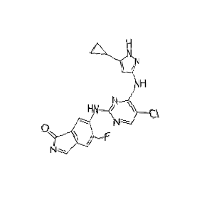 O=C1N=Cc2cc(F)c(Nc3ncc(Cl)c(Nc4cc(C5CC5)[nH]n4)n3)cc21